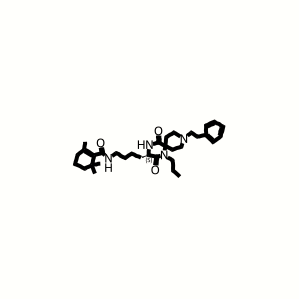 CCCN1C(=O)[C@H](CCCCNC(=O)C2=C(C)CCCC2(C)C)NC(=O)C12CCN(CCc1ccccc1)CC2